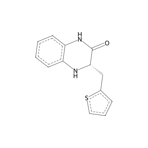 O=C1Nc2ccccc2N[C@H]1Cc1cccs1